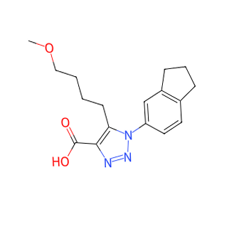 COCCCCc1c(C(=O)O)nnn1-c1ccc2c(c1)CCC2